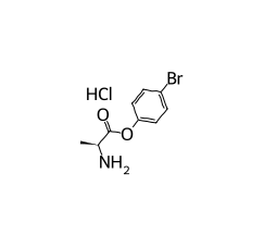 C[C@H](N)C(=O)Oc1ccc(Br)cc1.Cl